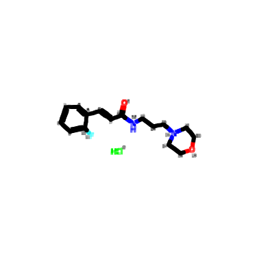 Cl.O=C(C=Cc1ccccc1F)NCCCN1CCOCC1